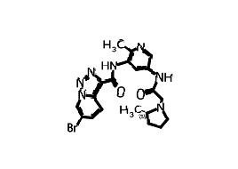 Cc1ncc(NC(=O)CN2CCC[C@@H]2C)cc1NC(=O)c1nnn2cc(Br)ccc12